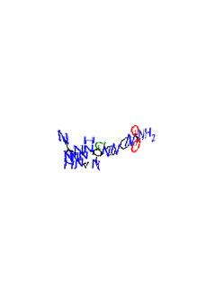 N#Cc1cc(Nc2nc(NC3CC3)n3ncc(C#N)c3n2)c(Cl)c(N2CCN(C3CCN(C(=O)C(N)=O)CC3)CC2)c1